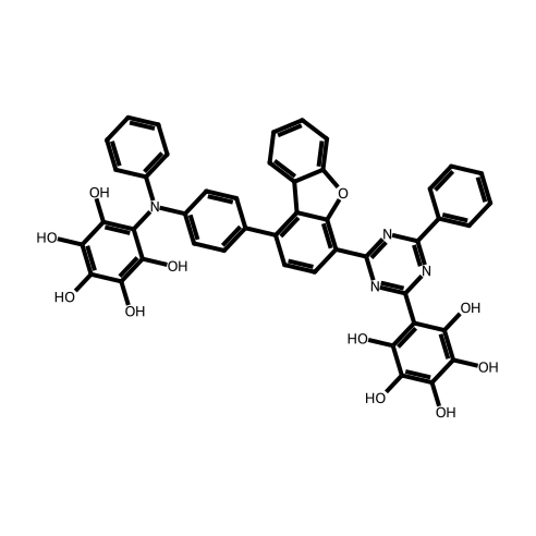 Oc1c(O)c(O)c(-c2nc(-c3ccccc3)nc(-c3ccc(-c4ccc(N(c5ccccc5)c5c(O)c(O)c(O)c(O)c5O)cc4)c4c3oc3ccccc34)n2)c(O)c1O